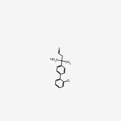 CC(SC=S)(C(=O)O)c1ccc(-c2ccccc2Cl)cc1